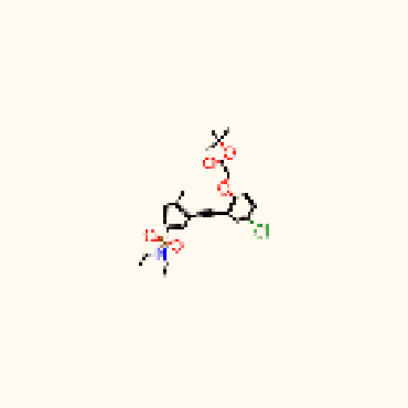 CCN(CC)S(=O)(=O)c1ccc(C)c(C#Cc2cc(Cl)ccc2OCC(=O)OC(C)(C)C)c1